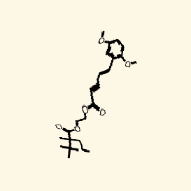 CCCC(C)(C(=O)OCCOC(=O)/C=C/C=C/c1cc(OC)ccc1OC)C(C)(C)C